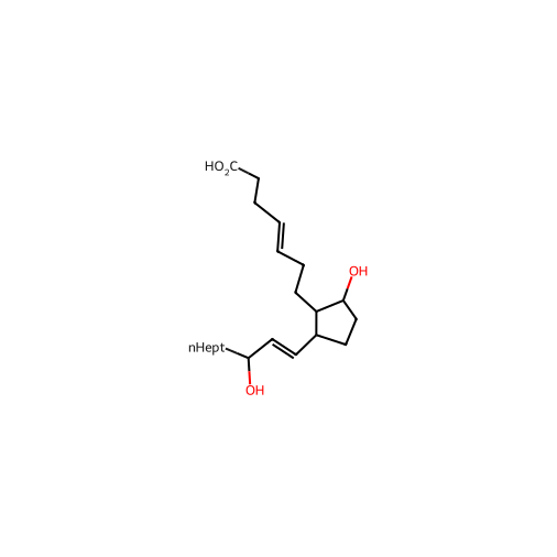 CCCCCCCC(O)C=CC1CCC(O)C1CCC=CCCC(=O)O